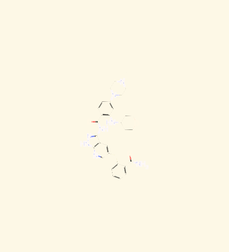 CN1CCN(c2ccc(C(=O)Nc3n[nH]c4ncc(Sc5ccccc5C(N)=O)cc34)c(NC3CCOCC3)c2)CC1